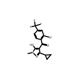 Cn1nc(C2CC2)c(C(=O)c2ccc(C(F)(F)F)[c]c2Cl)c1O